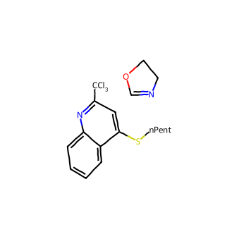 C1=NCCO1.CCCCCSc1cc(C(Cl)(Cl)Cl)nc2ccccc12